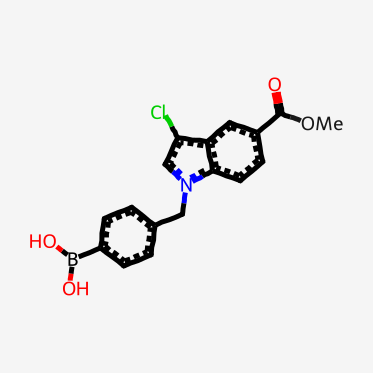 COC(=O)c1ccc2c(c1)c(Cl)cn2Cc1ccc(B(O)O)cc1